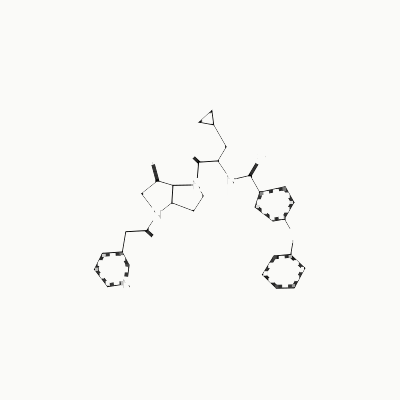 O=C(NC(CC1CC1)C(=O)N1CCC2C1C(=O)CN2C(=O)Cc1cccnc1)c1ccc(Oc2ccccc2)cc1